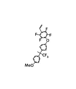 C=Cc1c(F)c(F)c(Oc2ccc(C(C)(c3ccc(OC)cc3)C(F)(F)F)cc2)c(F)c1F